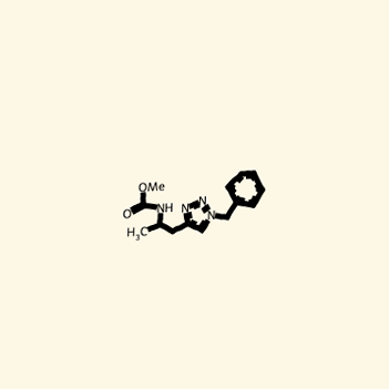 COC(=O)NC(C)Cc1cn(Cc2ccccc2)nn1